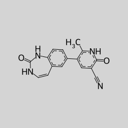 Cc1[nH]c(=O)c(C#N)cc1-c1ccc2c(c1)C=CNC(=O)N2